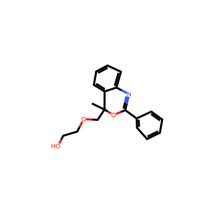 CC1(COCCO)OC(c2ccccc2)=Nc2ccccc21